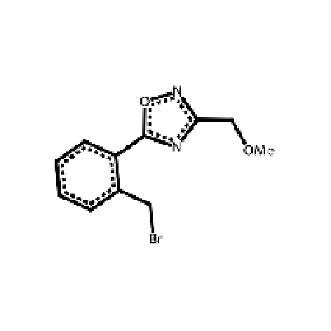 COCc1noc(-c2ccccc2CBr)n1